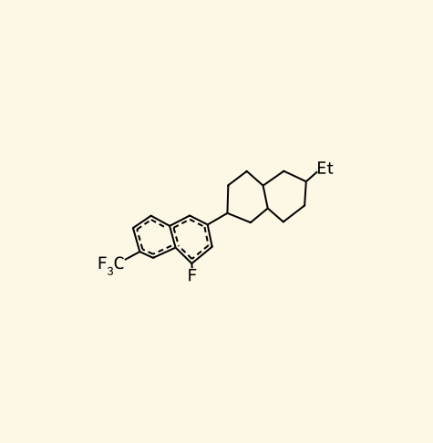 CCC1CCC2CC(c3cc(F)c4cc(C(F)(F)F)ccc4c3)CCC2C1